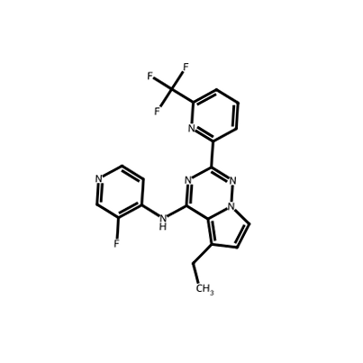 CCc1ccn2nc(-c3cccc(C(F)(F)F)n3)nc(Nc3ccncc3F)c12